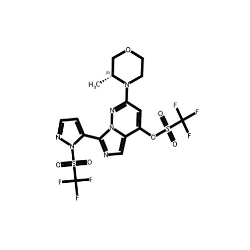 C[C@@H]1COCCN1c1cc(OS(=O)(=O)C(F)(F)F)c2cnc(-c3ccnn3S(=O)(=O)C(F)(F)F)n2n1